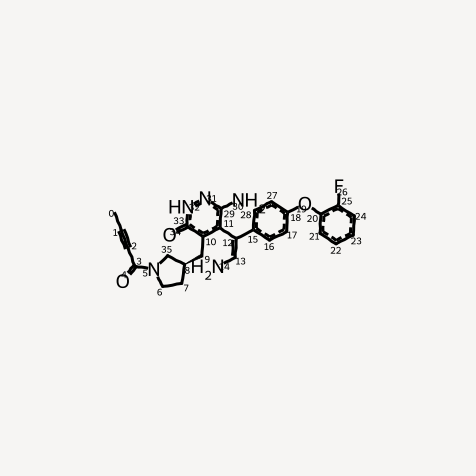 CC#CC(=O)N1CC[C@H](Cc2c(/C(=C\N)c3ccc(Oc4ccccc4F)cc3)c(N)n[nH]c2=O)C1